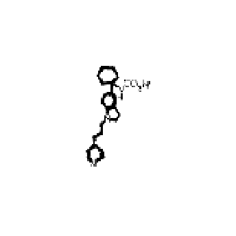 O=C(O)NC1(c2ccc3c(c2)CCN3CCCc2ccncc2)CCCCC1